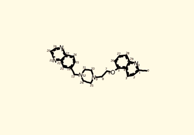 Cc1ccc2c(OCCN3CCN(Cc4ccc5nccnc5c4)CC3)cccc2n1